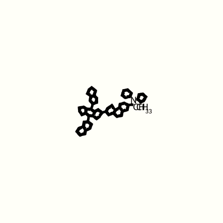 Cc1ccccc1N(c1ccccc1)C(C)c1ccc2c(ccc3cc(-c4ccc5c(-c6ccc7ccccc7c6)c6ccccc6c(-c6ccc7ccccc7c6)c5c4)ccc32)c1